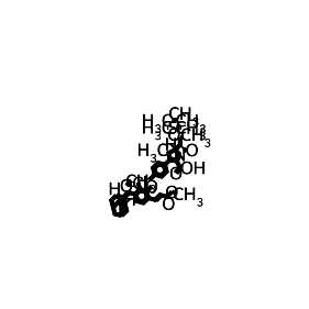 COC(=O)/C=C/c1ccc(C(OC)=C2[C@H]3CC4CC(C3)C[C@@H]2C4)c(Cl)c1OCc1ccc(C2=C(C(=O)O)N3C(=O)[C@H]([C@@H](C)O[Si](C)(C)C(C)(C)C)[C@H]3[C@H]2C)cc1